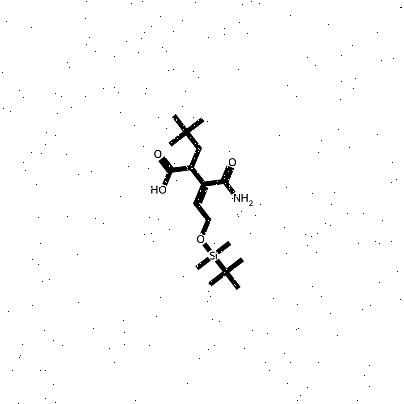 CC(C)(C)CC(C(=O)O)C(=CCO[Si](C)(C)C(C)(C)C)C(N)=O